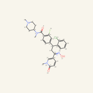 CN1CCC(N(C)C(=O)c2ccc(C(C/C(=N/O)c3ccc(=O)n(C)c3)c3ccccc3Cl)cc2F)CC1